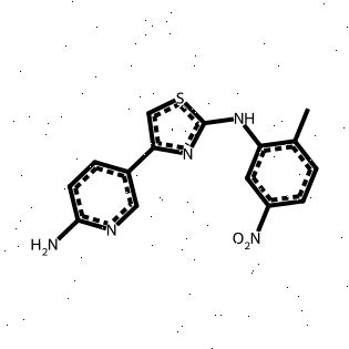 Cc1ccc([N+](=O)[O-])cc1Nc1nc(-c2ccc(N)nc2)cs1